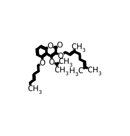 CC/C=C/CCOc1cccc2oc(=O)c(OC/C=C(\C)CCC=C(C)C)c(OC(C)C)c12